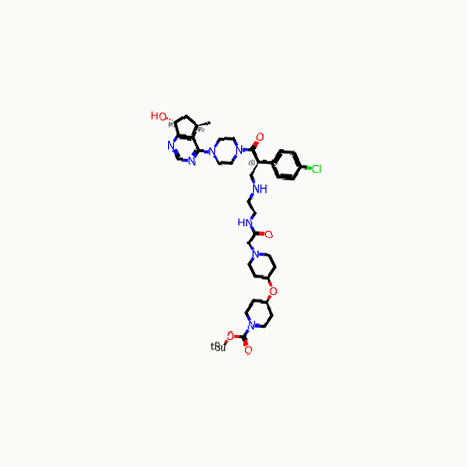 C[C@@H]1C[C@@H](O)c2ncnc(N3CCN(C(=O)[C@H](CNCCNC(=O)CN4CCC(OC5CCN(C(=O)OC(C)(C)C)CC5)CC4)c4ccc(Cl)cc4)CC3)c21